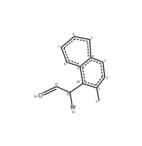 Cc1ccc2ccccc2c1C(Br)C=O